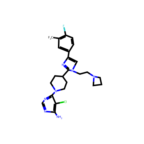 Nc1ncnc(N2CCC(c3nc(-c4ccc(F)c(C(F)(F)F)c4)cn3CCN3CCC3)CC2)c1Cl